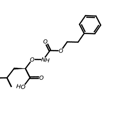 CC(C)C[C@@H](ONC(=O)OCCc1ccccc1)C(=O)O